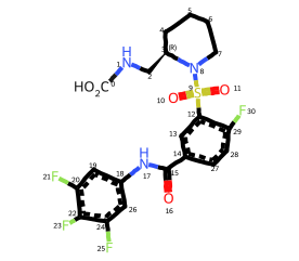 O=C(O)NC[C@H]1CCCCN1S(=O)(=O)c1cc(C(=O)Nc2cc(F)c(F)c(F)c2)ccc1F